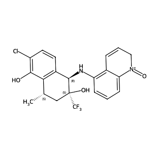 C[C@H]1C[C@@](O)(C(F)(F)F)[C@H](Nc2cccc3c2C=CC[N+]3=O)c2ccc(Cl)c(O)c21